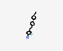 CCC[C@H]1CC[C@H](C2CC=C(CCc3ccc(C#N)c(F)c3)CC2)CC1